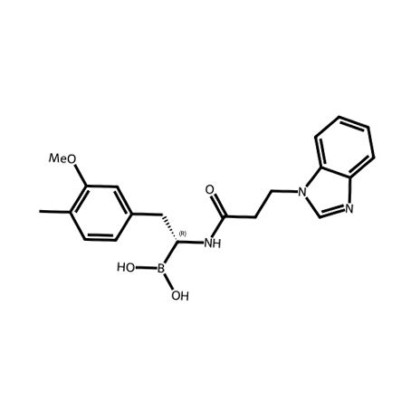 COc1cc(C[C@H](NC(=O)CCn2cnc3ccccc32)B(O)O)ccc1C